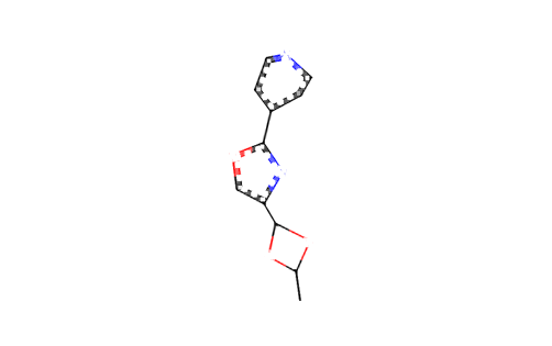 CC1OC(c2coc(-c3ccncc3)n2)O1